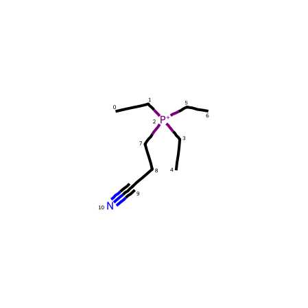 CC[P+](CC)(CC)CCC#N